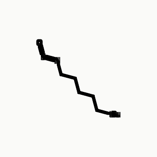 CC(C)(C)CCCCCN=S=O